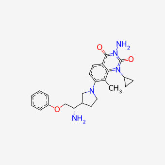 Cc1c(N2CCC([C@H](N)COc3ccccc3)C2)ccc2c(=O)n(N)c(=O)n(C3CC3)c12